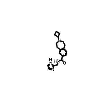 O=C(NCc1ncc[nH]1)c1ccc2c(c1)CCN(C1CCC1)CC2